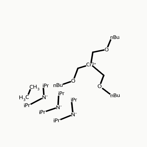 CC.CC(C)[N-]C(C)C.CC(C)[N-]C(C)C.CC(C)[N-]C(C)C.CCCCO[CH2][Cr+3]([CH2]OCCCC)[CH2]OCCCC